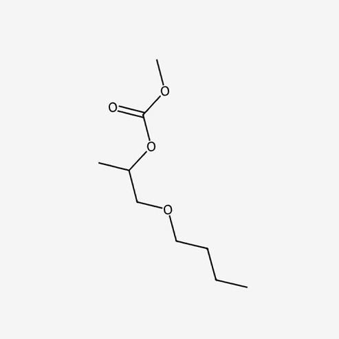 CCCCOCC(C)OC(=O)OC